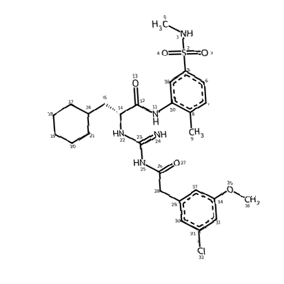 CNS(=O)(=O)c1ccc(C)c(NC(=O)[C@@H](CC2CCCCC2)NC(=N)NC(=O)Cc2cc(Cl)cc(OC)c2)c1